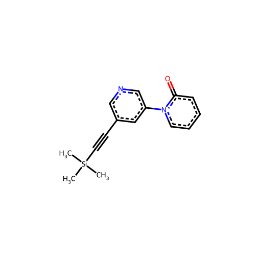 C[Si](C)(C)C#Cc1cncc(-n2ccccc2=O)c1